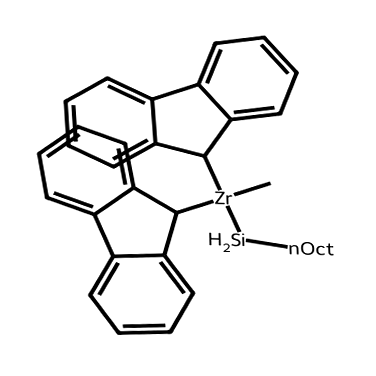 CCCCCCCC[SiH2][Zr]([CH3])([CH]1c2ccccc2-c2ccccc21)[CH]1c2ccccc2-c2ccccc21